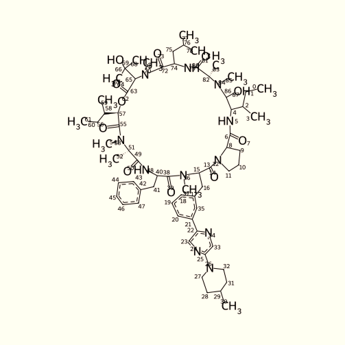 CCC(C)C1NC(=O)C2CCCN2C(=O)C(Cc2cccc(-c3cnc(N4CCC(C)CC4)cn3)c2)N(C)C(=O)C(Cc2ccccc2)NC(=O)[C@H](C)N(C)C(=O)[C@@H](C(C)CC)OC(=O)C(C(C)(C)O)N(C)C(=O)C(CC(C)C)NC(=O)[C@H](C)N(C)C1O